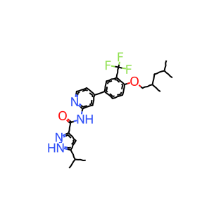 CC(C)CC(C)COc1ccc(-c2ccnc(NC(=O)c3cc(C(C)C)[nH]n3)c2)cc1C(F)(F)F